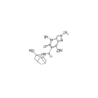 CC(C)n1c(=O)c(C(=O)NC23CC4CC(CC(O)(C4)C2)C3)c(O)c2nn(C)cc21